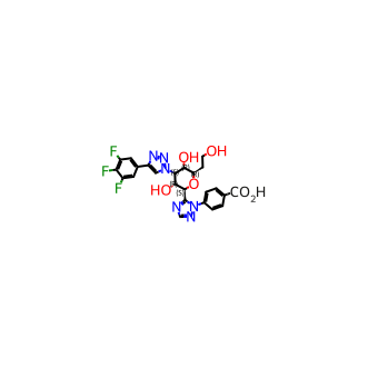 O=C(O)c1ccc(-n2ncnc2[C@@H]2O[C@H](CCO)[C@H](O)[C@H](n3cc(-c4cc(F)c(F)c(F)c4)nn3)[C@H]2O)cc1